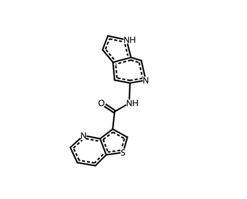 O=C(Nc1cc2cc[nH]c2cn1)c1csc2cccnc12